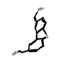 CC(C)(C)Cc1ccc2sc3ccc(CC(C)(C)C)cc3c2c1